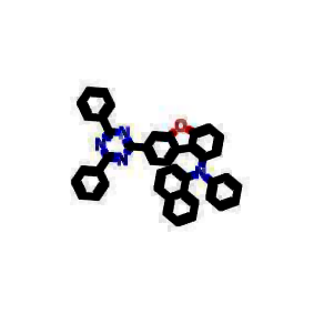 c1ccc(-c2nc(-c3ccccc3)nc(-c3ccc4c(c3)oc3cccc(N(c5ccccc5)c5cccc6ccccc56)c34)n2)cc1